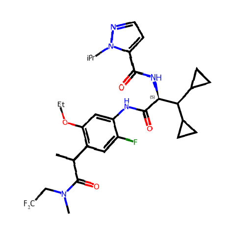 CCOc1cc(NC(=O)[C@@H](NC(=O)c2ccnn2C(C)C)C(C2CC2)C2CC2)c(F)cc1C(C)C(=O)N(C)CC(F)(F)F